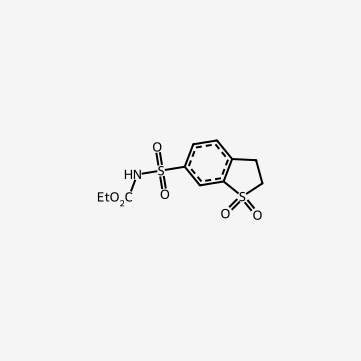 CCOC(=O)NS(=O)(=O)c1ccc2c(c1)S(=O)(=O)CC2